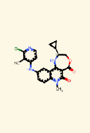 Cn1c(=O)c2c(c3cc(Nc4ccnc(Cl)c4C#N)ccc31)N[C@@H](C1CC1)COC2=O